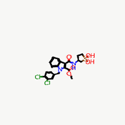 CCOC(=O)c1c(C(=O)NC2CCS(O)(O)C2)c2ccccc2n1Cc1ccc(Cl)c(Cl)c1